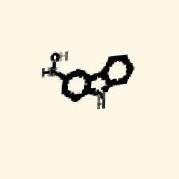 OBc1ccc2[nH]c3ccccc3c2c1